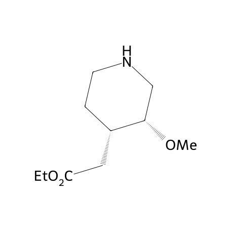 CCOC(=O)C[C@@H]1CCNC[C@@H]1OC